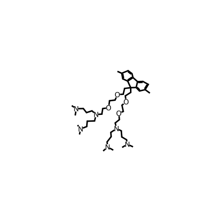 Cc1ccc2c(c1)C(CCOCCOCCN(CCCN(C)C)CCCN(C)C)(CCOCCOCCN(CCCN(C)C)CCCN(C)C)c1cc(C)ccc1-2